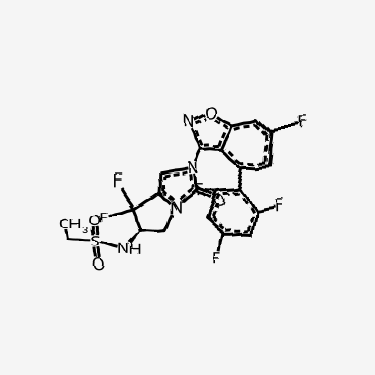 CCS(=O)(=O)N[C@@H]1Cn2c(cn(-c3noc4cc(F)cc(-c5c(F)cc(F)cc5F)c34)c2=O)C1(F)F